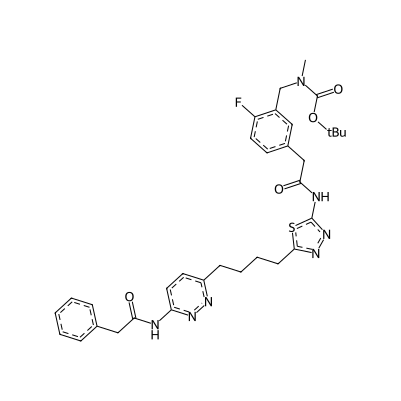 CN(Cc1cc(CC(=O)Nc2nnc(CCCCc3ccc(NC(=O)Cc4ccccc4)nn3)s2)ccc1F)C(=O)OC(C)(C)C